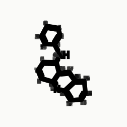 c1ccc(Nc2cccc3nc4ccccc4cc23)cc1